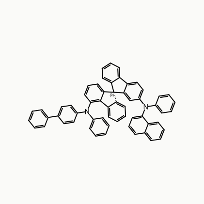 c1ccc(-c2ccc(N(c3ccccc3)c3cccc4c3-c3ccccc3[C@@]43c4ccccc4-c4ccc(N(c5ccccc5)c5cccc6ccccc56)cc43)cc2)cc1